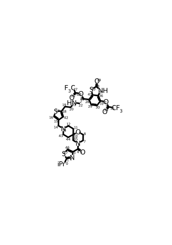 CC(C)c1nc(C(=O)N2CCOC3(CCN(Cc4csc(CCNC[C@H](OC(=O)C(F)(F)F)c5ccc(OC(=O)C(F)(F)F)c6[nH]c(=O)sc56)c4)CC3)C2)cs1